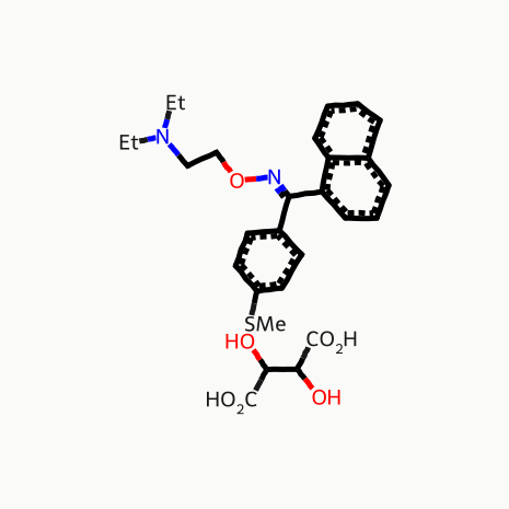 CCN(CC)CCON=C(c1ccc(SC)cc1)c1cccc2ccccc12.O=C(O)C(O)C(O)C(=O)O